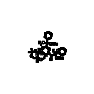 COC(C(=O)O[C@H]1[C@H]2OC(C)(C)OC[C@@H]2OC[C@H]1OC(=O)[C@@](OC)(c1ccccc1)C(F)(F)F)(c1ccccc1)C(F)(F)F